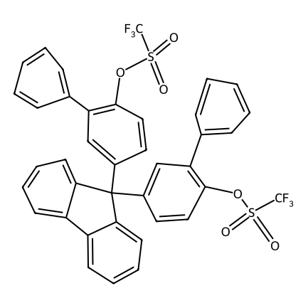 O=S(=O)(Oc1ccc(C2(c3ccc(OS(=O)(=O)C(F)(F)F)c(-c4ccccc4)c3)c3ccccc3-c3ccccc32)cc1-c1ccccc1)C(F)(F)F